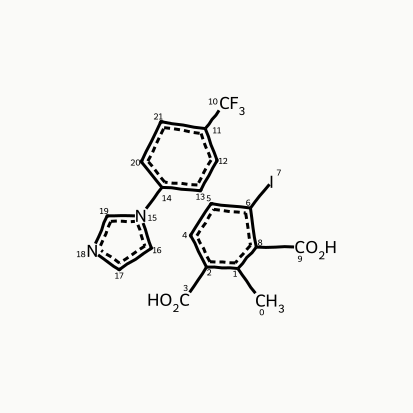 Cc1c(C(=O)O)ccc(I)c1C(=O)O.FC(F)(F)c1ccc(-n2ccnc2)cc1